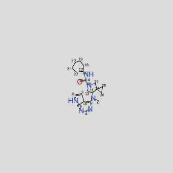 CN(c1ncnc2[nH]ccc12)C1CN(C(=O)NC2CCCCC2)CC12CC2